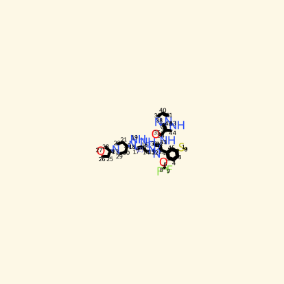 CSc1ccc(OC(F)F)c(-c2nn(C/C(N)=C/N(N)C3CCN(C4CCOC4)CC3)cc2NC(=O)C2=C3N=CC=CN3NC2)c1